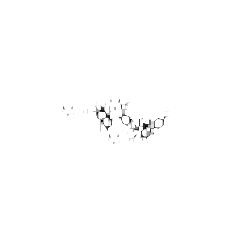 COc1cc2nccc(Oc3ccc(NC(=O)c4c(OC)c(C)cn(-c5ccc(F)cc5)c4=O)cc3F)c2nc1OC